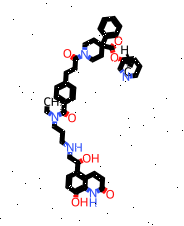 CCN(CCCNCC(O)c1ccc(O)c2[nH]c(=O)ccc12)C(=O)c1ccc(CCC(=O)N2CCC(C(=O)O[C@H]3CN4CCC3CC4)(c3ccccc3)CC2)cc1